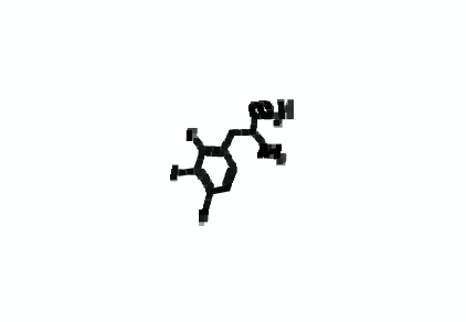 NC(Cc1ccc(F)c(I)c1F)C(=O)O